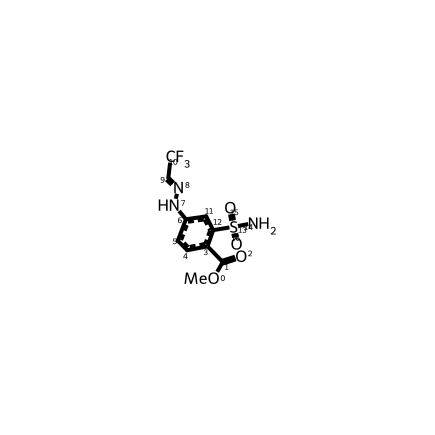 COC(=O)c1ccc(NN=CC(F)(F)F)cc1S(N)(=O)=O